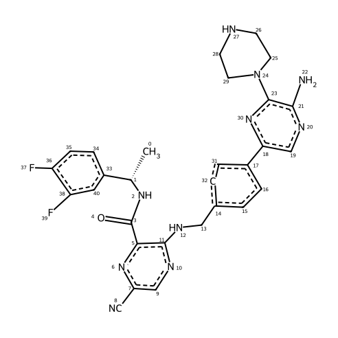 C[C@H](NC(=O)c1nc(C#N)cnc1NCc1ccc(-c2cnc(N)c(N3CCNCC3)n2)cc1)c1ccc(F)c(F)c1